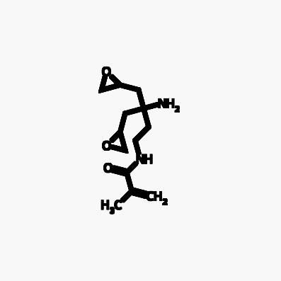 C=C(C)C(=O)NCCC(N)(CC1CO1)CC1CO1